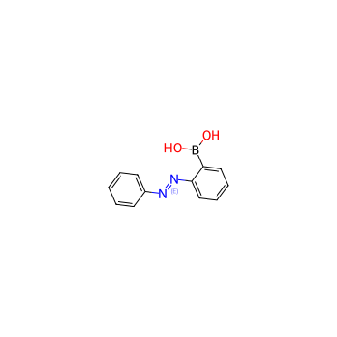 OB(O)c1ccccc1/N=N/c1ccccc1